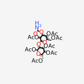 CC(=O)OC[C@@H]1OC(OC(C)=O)[C@@H](O[C@H]2O[C@H](COC(C)=O)[C@@H](OC(C)=O)[C@H](OC(N)=O)[C@@H]2OC(C)=O)[C@@H](OC(C)=O)[C@@H]1OC(C)=O